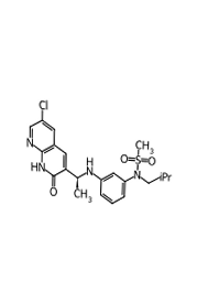 CC(C)CN(c1cccc(N[C@@H](C)c2cc3cc(Cl)cnc3[nH]c2=O)c1)S(C)(=O)=O